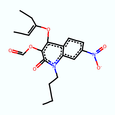 CC=C(CC)Oc1c(OC=O)c(=O)n(CCCC)c2cc([N+](=O)[O-])ccc12